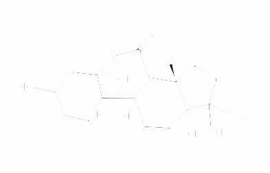 CC1(O)CC[C@H]2[C@@H]3C(=O)C=C4CC(O)CC[C@]4(C)[C@@H]3CC[C@@]21C